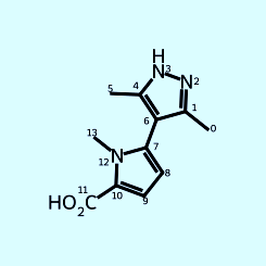 Cc1n[nH]c(C)c1-c1ccc(C(=O)O)n1C